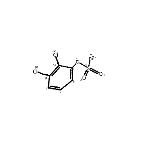 CCCS(=O)(=O)Oc1cccc(Cl)c1Cl